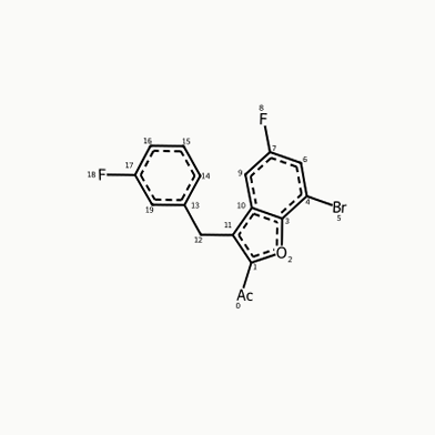 CC(=O)c1oc2c(Br)cc(F)cc2c1Cc1cccc(F)c1